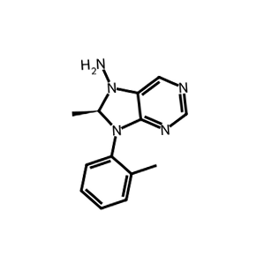 Cc1ccccc1N1c2ncncc2N(N)[C@@H]1C